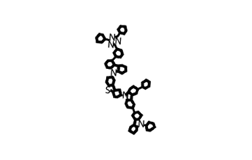 c1ccc(-c2ccc3c(c2)c2cc(-c4ccc5c(c4)c4ccccc4n5-c4ccccc4)ccc2n3-c2ccc3sc4ccc(-n5c6ccccc6c6c(-c7cccc(-c8nc(-c9ccccc9)nc(-c9ccccc9)n8)c7)cccc65)cc4c3c2)cc1